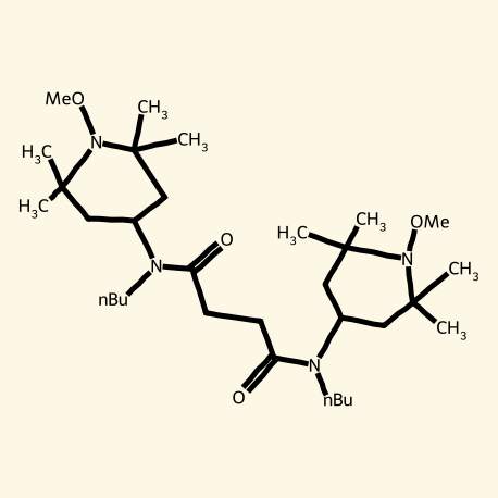 CCCCN(C(=O)CCC(=O)N(CCCC)C1CC(C)(C)N(OC)C(C)(C)C1)C1CC(C)(C)N(OC)C(C)(C)C1